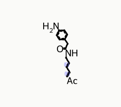 CC(=O)/C=C/C=C/CNC(=O)Cc1ccc(N)cc1